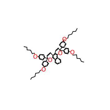 CCCCCCOc1ccc(C2(c3ccc(OCCCCCC)cc3)C=Cc3c4c(c5ccccc5c3O2)OC(c2ccc(OCCCCCC)cc2)(c2ccc(OCCCCCC)cc2)C=C4)cc1